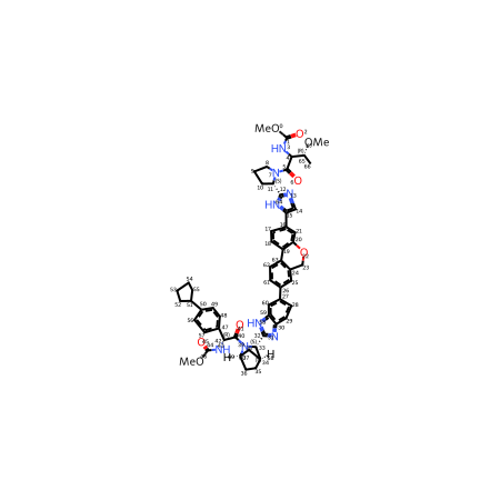 COC(=O)NC(C(=O)N1CCC[C@H]1c1ncc(-c2ccc3c(c2)OCc2cc(-c4ccc5nc([C@@H]6[C@H]7CC[C@H](C7)N6C(=O)[C@H](NC(=O)OC)c6ccc(C7CCCC7)cc6)[nH]c5c4)ccc2-3)[nH]1)[C@@H](C)OC